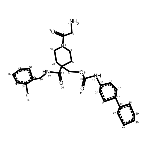 NCC(=O)N1CCC(COC(=O)Nc2ccc(-c3ccccc3)cc2)(C(=O)NCc2ccccc2Cl)CC1